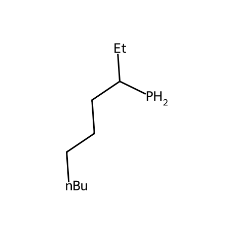 CCCCCCCC(P)CC